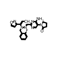 C/C=C(/c1ccon1)N(Cc1ccccc1F)/N=C/c1ncc(N2CCCC2=O)c(N)n1